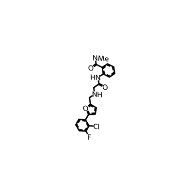 CNC(=O)c1ccccc1NC(=O)CNCc1ccc(-c2cccc(F)c2Cl)o1